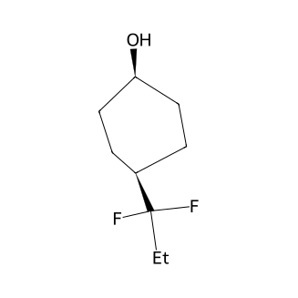 CCC(F)(F)[C@H]1CC[C@@H](O)CC1